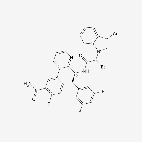 CCC(C(=O)N[C@@H](Cc1cc(F)cc(F)c1)c1ncccc1-c1ccc(F)c(C(N)=O)c1)n1cc(C(C)=O)c2ccccc21